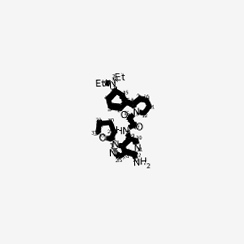 CCN(CC)c1cccc(C2CCCCN2C(=O)C(=O)Nc2cnc(N)c3cnn(C4CCCCO4)c23)c1